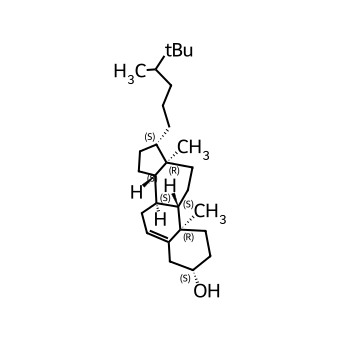 CC(CCC[C@H]1CC[C@H]2[C@@H]3CC=C4C[C@@H](O)CC[C@]4(C)[C@H]3CC[C@]12C)C(C)(C)C